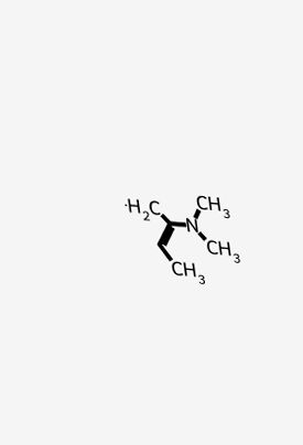 [CH2]C(=CC)N(C)C